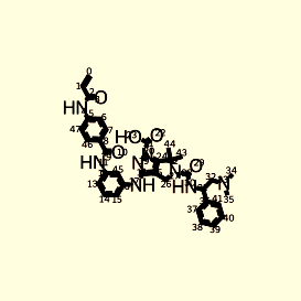 C=CC(=O)Nc1ccc(C(=O)Nc2cccc(Nc3nn(C(=O)O)c4c3CN(C(=O)NC(CN(C)C)c3ccccc3)C4(C)C)c2)cc1